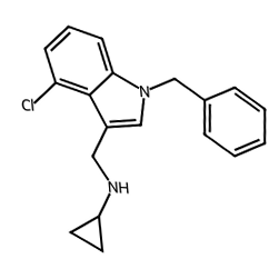 Clc1cccc2c1c(CNC1CC1)cn2Cc1ccccc1